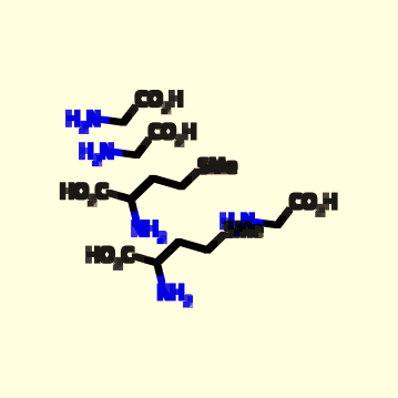 CSCCC(N)C(=O)O.CSCCC(N)C(=O)O.NCC(=O)O.NCC(=O)O.NCC(=O)O